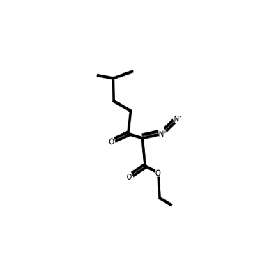 CCOC(=O)C(=[N+]=[N-])C(=O)CCC(C)C